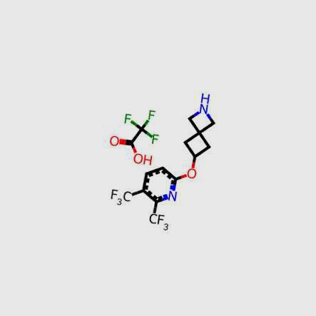 FC(F)(F)c1ccc(OC2CC3(CNC3)C2)nc1C(F)(F)F.O=C(O)C(F)(F)F